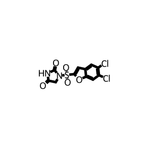 O=C1CN(S(=O)(=O)c2cc3cc(Cl)c(Cl)cc3o2)C(=O)N1